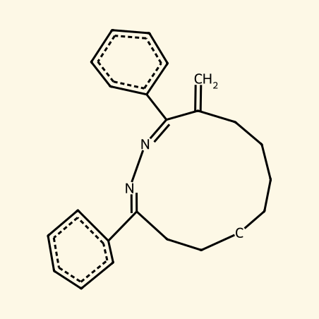 C=C1CCCCCCC/C(c2ccccc2)=N\N=C/1c1ccccc1